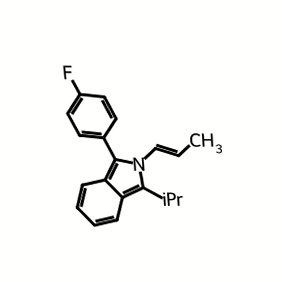 C/C=C/n1c(-c2ccc(F)cc2)c2ccccc2c1C(C)C